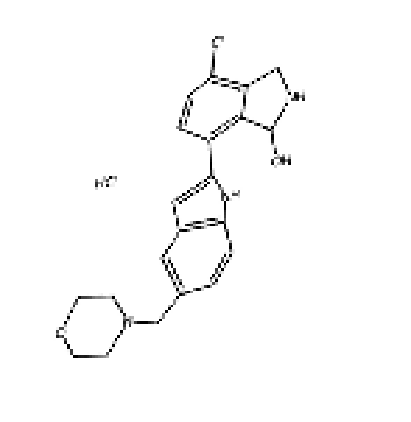 Cl.OC1NCc2c(Cl)ccc(-c3cc4cc(CN5CCOCC5)ccc4[nH]3)c21